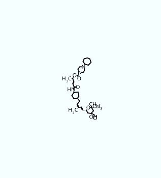 CC(C=C[C@@H]1C[C@](O)(CCl)CC(C)(C)O1)=CCC1CCC(NC(=O)C=CC(C)OC(=O)N2CCN(C3CCCCCC3)CC2)CC1